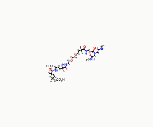 CC(C)NC(=O)CN(CC(=O)NC(C)C)C(=O)CCNC(=O)C(C)(C)CCOCCOCCNC(=O)C(C)(C)CC[C@H](NC(=O)C(C)(C)CC(C)(C)CC(=O)O)C(=O)O